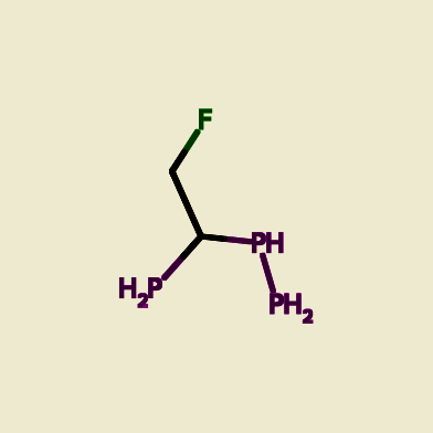 FCC(P)PP